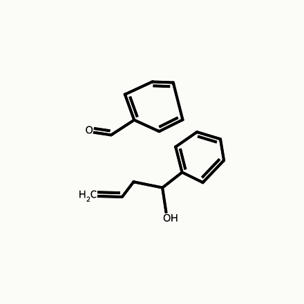 C=CCC(O)c1ccccc1.O=Cc1ccccc1